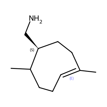 C/C1=C\CCC(C)[C@@H](CN)CC1